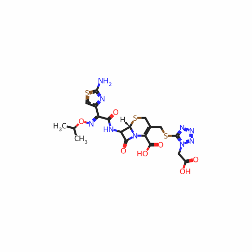 CC(C)ON=C(C(=O)NC1C(=O)N2C(C(=O)O)=C(CSc3nnnn3CC(=O)O)CS[C@@H]12)c1csc(N)n1